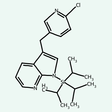 CC(C)[Si](C(C)C)(C(C)C)n1cc(Cc2ccc(Cl)nc2)c2cccnc21